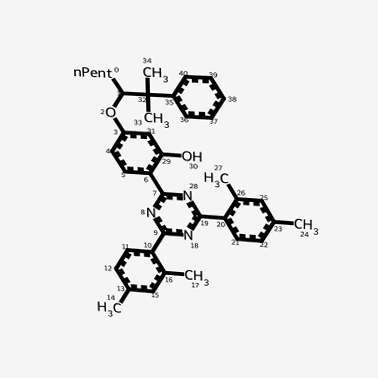 CCCCCC(Oc1ccc(-c2nc(-c3ccc(C)cc3C)nc(-c3ccc(C)cc3C)n2)c(O)c1)C(C)(C)c1ccccc1